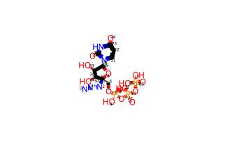 [N-]=[N+]=N[C@]1(COP(=O)(O)OP(=O)(O)OP(=O)(O)O)O[C@@H](n2ccc(=O)[nH]c2=O)[C@H](O)[C@@H]1O